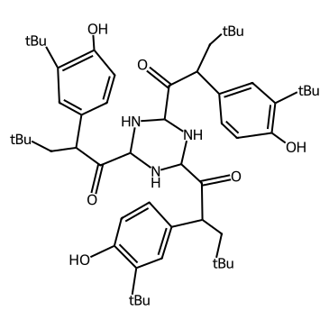 CC(C)(C)CC(C(=O)C1NC(C(=O)C(CC(C)(C)C)c2ccc(O)c(C(C)(C)C)c2)NC(C(=O)C(CC(C)(C)C)c2ccc(O)c(C(C)(C)C)c2)N1)c1ccc(O)c(C(C)(C)C)c1